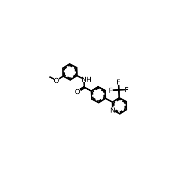 COc1cccc(NC(=O)c2ccc(-c3ncccc3C(F)(F)F)cc2)c1